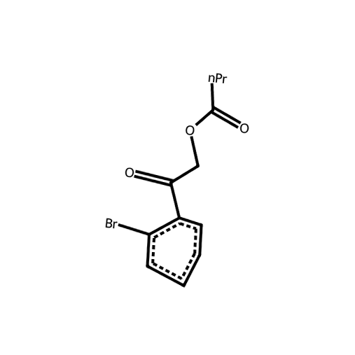 CCCC(=O)OCC(=O)c1ccccc1Br